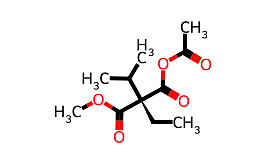 CC[C@](C(=O)OC)(C(=O)OC(C)=O)C(C)C